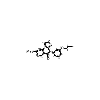 C=CCOc1cccc(-n2c(=O)c3cnc(SC)nc3n3ccnc23)c1